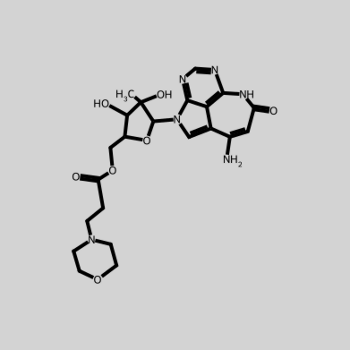 CC1(O)C(O)C(COC(=O)CCN2CCOCC2)OC1n1cc2c3c(ncnc31)NC(=O)C=C2N